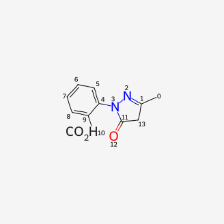 CC1=NN(c2ccccc2C(=O)O)C(=O)C1